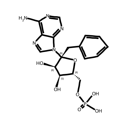 Nc1ncnc2c1ncn2[C@]1(Cc2ccccc2)O[C@H](COP(=O)(O)O)[C@@H](O)[C@H]1O